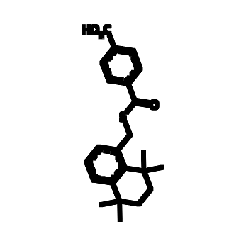 CC1(C)CCC(C)(C)c2c(CSC(=O)c3ccc(C(=O)O)cc3)cccc21